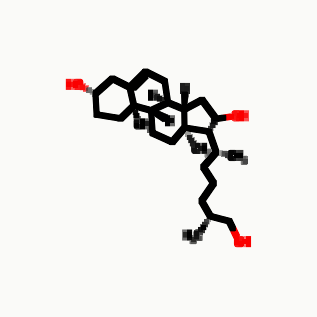 C[C@@H](CO)CCC[C@@H](C)[C@H]1C(O)C[C@H]2[C@@H]3CC=C4C[C@@H](O)CC[C@]4(C)[C@H]3CC[C@]12C